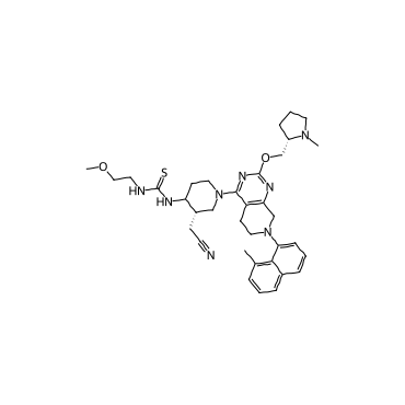 COCCNC(=S)NC1CCN(c2nc(OC[C@@H]3CCCN3C)nc3c2CCN(c2cccc4cccc(C)c24)C3)C[C@@H]1CC#N